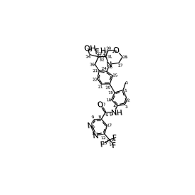 Cc1ccc(NC(=O)c2cnnc(C(F)(F)F)c2)cc1-c1ccc2c(c1)N1CCOC[C@@H]1[C@](F)(CO)C2